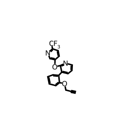 C#CCOc1ccccc1-c1cccnc1Oc1ccc(C(F)(F)F)nc1